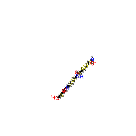 C/N=C/[S+]([O-])CCSCSCSCCSC(=O)NCCSCSCSCC/N=C/OOCCSCCO